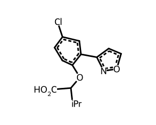 CC(C)C(Oc1ccc(Cl)cc1-c1ccon1)C(=O)O